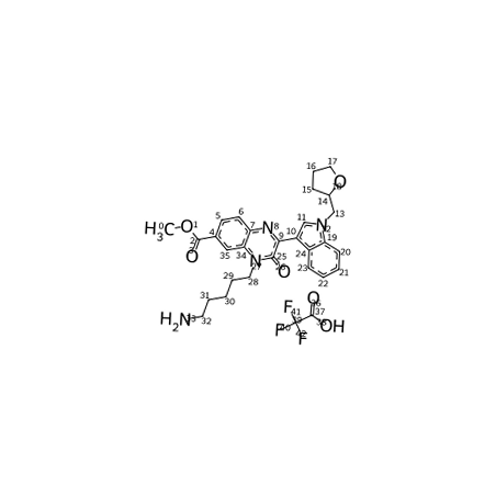 COC(=O)c1ccc2nc(-c3cn(CC4CCCO4)c4ccccc34)c(=O)n(CCCCCN)c2c1.O=C(O)C(F)(F)F